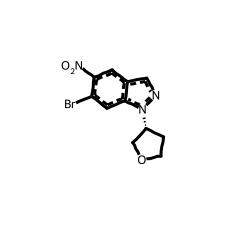 O=[N+]([O-])c1cc2cnn([C@@H]3CCOC3)c2cc1Br